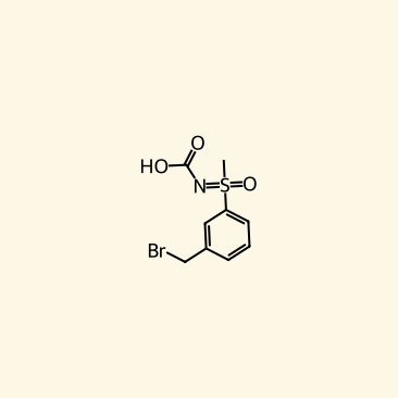 CS(=O)(=NC(=O)O)c1cccc(CBr)c1